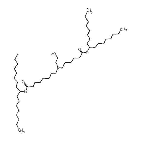 CCCCCCCCC(CCCCCCCF)OC(=O)CCCCCCCN(CCO)CCCCCC(=O)OC(CCCCCCCC)CCCCCCCC